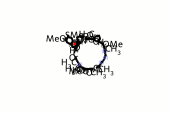 CO[C@H]1C[C@@H]2CC[C@@H](C)[C@@](O)(O2)C(=O)C(=O)N2CCC[C@@H]3C(C[C@@H]4CCC(SC)[C@H](OC)C4)[C@H](CC(=O)C(C)/C=C(\C)[C@@H](O)[C@@H](OC)C(=O)[C@H](C)C[C@H](C)/C=C/C=C/C=C/1C)OC(=O)[C@H]32